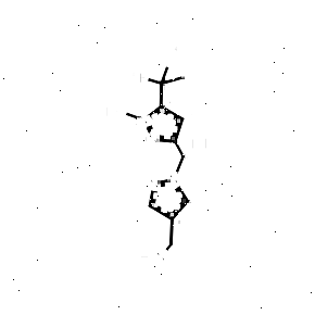 Cl.Cn1nc(Cn2cc(CN)cn2)cc1C(F)(F)F